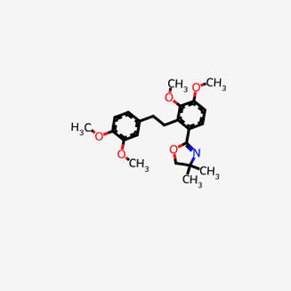 COc1ccc(CCc2c(C3=NC(C)(C)CO3)ccc(OC)c2OC)cc1OC